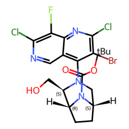 CC(C)(C)OC(=O)N1[C@H]2CC[C@@H]1[C@@H](CO)N(c1c(Br)c(Cl)nc3c(F)c(Cl)ncc13)C2